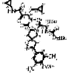 COc1c(C)cc(C2=NO[C@]3(C2)C[C@@H](C(=O)N[C@@H](CC2CC2)C(=O)C(=O)NC2CC2)N(C(=O)[C@@H](NC(=O)OC(C)(C)C)C(C)(C)C)C3)cc1C